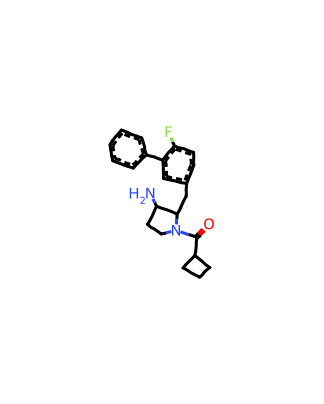 NC1CCN(C(=O)C2CCC2)C1Cc1ccc(F)c(-c2ccccc2)c1